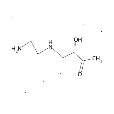 CC(=O)[C@@H](O)CNCCN